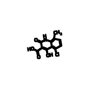 Cc1ccc(Cl)c2c(O)c(C(=O)O)c(=O)[nH]c12